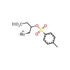 CCOC(=O)CC(C[C@H](C)CC)OS(=O)(=O)c1ccc(C)cc1